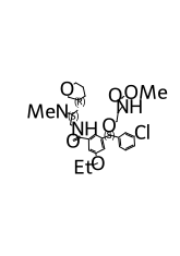 CCOc1cc(C(=O)NC[C@H](C[C@H]2CCCOC2)NC)cc([C@H](OCCNC(=O)OC)c2cccc(Cl)c2)c1